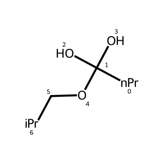 CCCC(O)(O)OCC(C)C